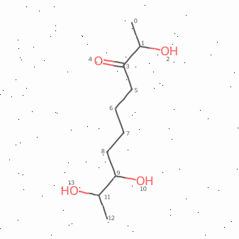 CC(O)C(=O)CCCCC(O)C(C)O